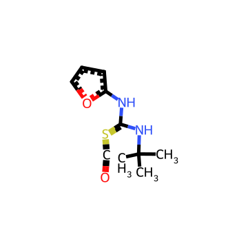 CC(C)(C)NC(Nc1ccco1)=S=C=O